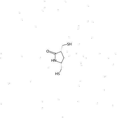 O=C1N[C@@H](CS)C[C@H]1CS